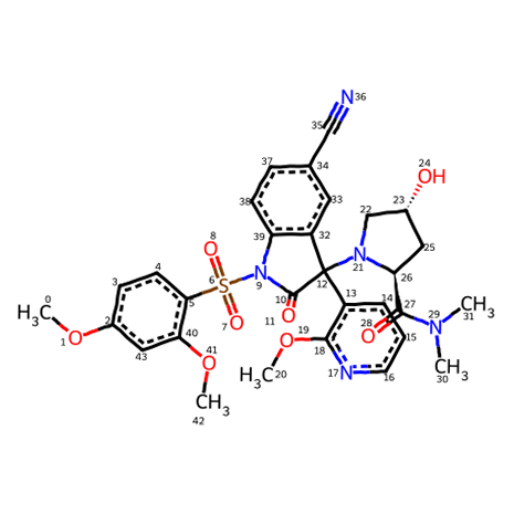 COc1ccc(S(=O)(=O)N2C(=O)C(c3cccnc3OC)(N3C[C@H](O)C[C@H]3C(=O)N(C)C)c3cc(C#N)ccc32)c(OC)c1